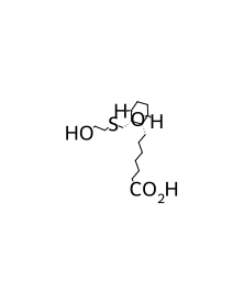 O=C(O)CCCCCC[C@@H]1[C@H](CSCCO)[C@@H]2CC[C@H]1O2